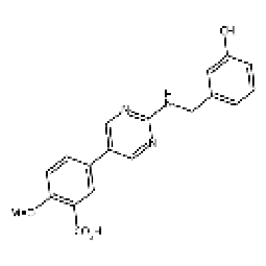 COc1ccc(-c2cnc(NCc3cccc(C)c3)nc2)cc1C(=O)O